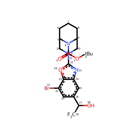 CC(C)(C)OC(=O)N1C2CCCC1CN(c1nc3cc(C(O)C(F)(F)F)cc(Br)c3o1)C2